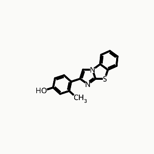 Cc1cc(O)ccc1-c1cn2c(n1)sc1ccccc12